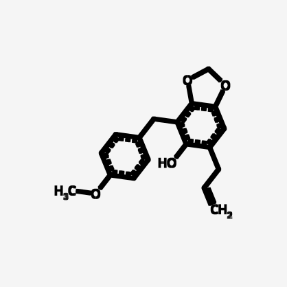 C=CCc1cc2c(c(Cc3ccc(OC)cc3)c1O)OCO2